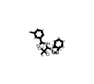 Cc1cccc(C(=O)NC(n2nnc3ccccc32)C(C)(Cl)Cl)c1